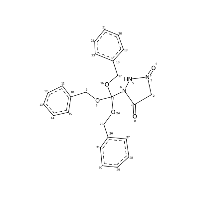 O=C1C[N+](=O)NN1C(OCc1ccccc1)(OCc1ccccc1)OCc1ccccc1